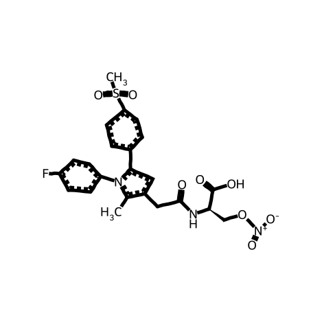 Cc1c(CC(=O)N[C@H](CO[N+](=O)[O-])C(=O)O)cc(-c2ccc(S(C)(=O)=O)cc2)n1-c1ccc(F)cc1